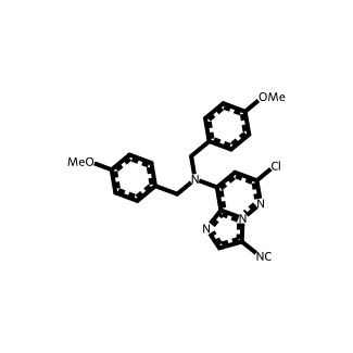 [C-]#[N+]c1cnc2c(N(Cc3ccc(OC)cc3)Cc3ccc(OC)cc3)cc(Cl)nn12